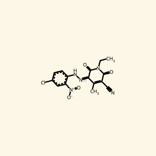 CCN1C(=O)C(C#N)=C(C)/C(=N/Nc2ccc(Cl)cc2[N+](=O)[O-])C1=O